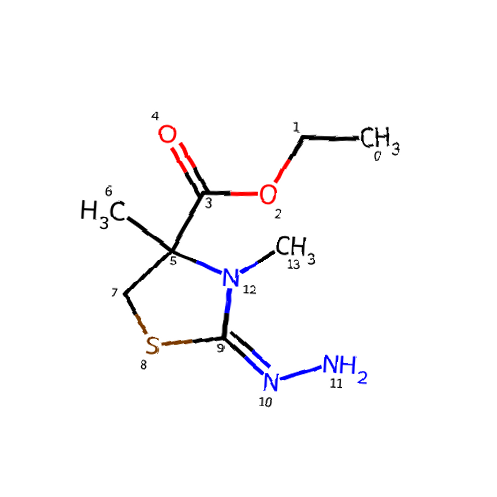 CCOC(=O)C1(C)CS/C(=N/N)N1C